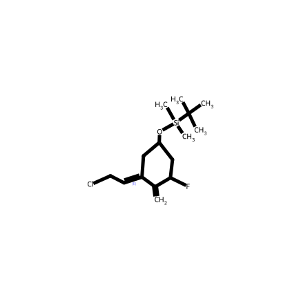 C=C1/C(=C/CCl)CC(O[Si](C)(C)C(C)(C)C)CC1F